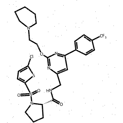 O=C(NCc1cc(-c2ccc(C(F)(F)F)cc2)nc(OCCN2CCCCC2)n1)[C@@H]1CCCN1S(=O)(=O)c1ccc(Cl)s1